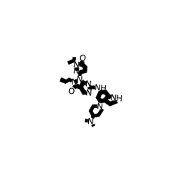 C=CCn1c(=O)c2cnc(Nc3cc(N4CCC(N(C)C)CC4)c4cc[nH]c4c3)nc2n1-c1ccc(=O)n(C(C)C)n1